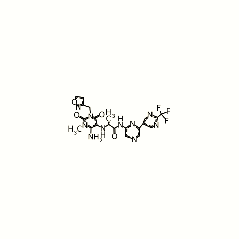 C[C@H](Nc1c(N)n(C)c(=O)n(Cc2ccon2)c1=O)C(=O)Nc1cncc(-c2cnc(C(F)(F)F)nc2)n1